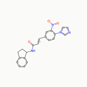 O=C(/C=C/c1ccc(-n2ccnc2)c([N+](=O)[O-])c1)NC1CCc2ccccc21